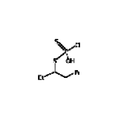 CCC(CC(C)C)SP(O)(=S)Cl